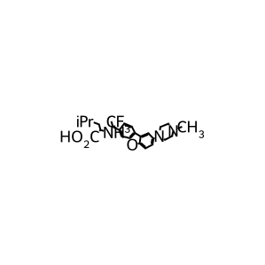 CC(C)CC(NC(c1ccc2c(c1)oc1ccc(N3CCN(C)CC3)cc12)C(F)(F)F)C(=O)O